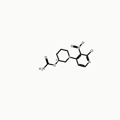 NC(=O)O[C@H]1CCCN(c2ccnc(Cl)c2[N+](=O)[O-])C1